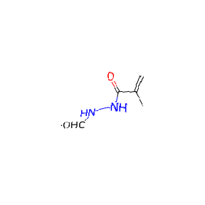 C=C(C)C(=O)NN[C]=O